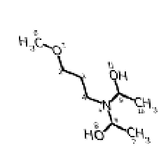 COCCCN(C(C)O)C(C)O